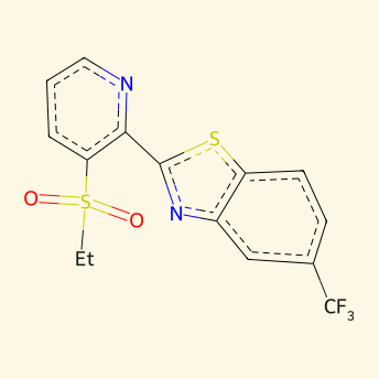 CCS(=O)(=O)c1cccnc1-c1nc2cc(C(F)(F)F)ccc2s1